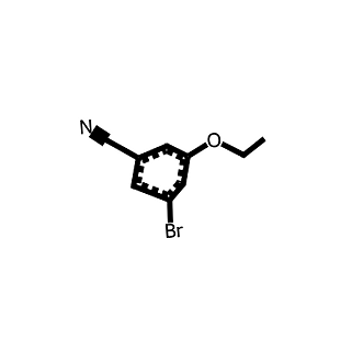 CCOc1cc(Br)cc(C#N)c1